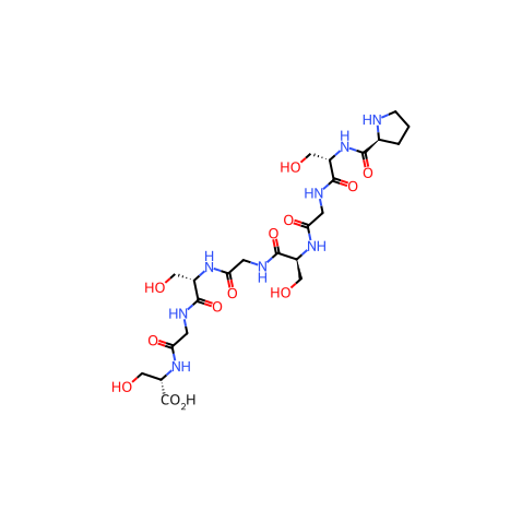 O=C(CNC(=O)[C@H](CO)NC(=O)CNC(=O)[C@H](CO)NC(=O)CNC(=O)[C@H](CO)NC(=O)[C@@H]1CCCN1)N[C@@H](CO)C(=O)O